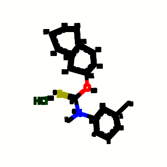 Cc1cccc(N(C)C(=S)Oc2ccc3ccccc3c2)c1.Cl